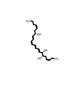 CC/C=C\C[C@H](O)[C@H](O)/C=C/C=C/C=C\C=C\[C@@H](O)C/C=C\CCC